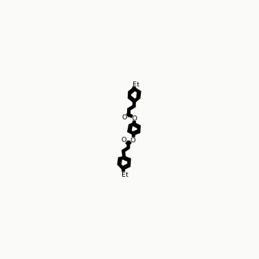 CCc1ccc(CCC(=O)Oc2ccc(OC(=O)CCc3ccc(CC)cc3)cc2)cc1